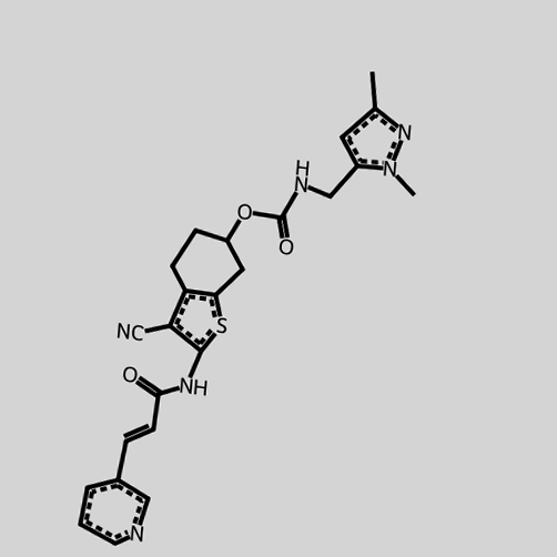 Cc1cc(CNC(=O)OC2CCc3c(sc(NC(=O)C=Cc4cccnc4)c3C#N)C2)n(C)n1